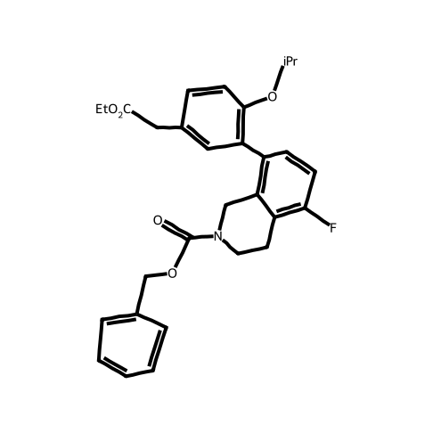 CCOC(=O)Cc1ccc(OC(C)C)c(-c2ccc(F)c3c2CN(C(=O)OCc2ccccc2)CC3)c1